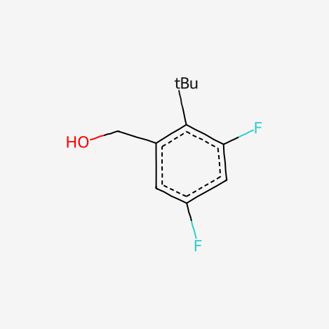 CC(C)(C)c1c(F)cc(F)cc1CO